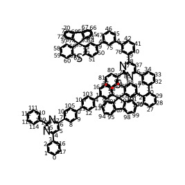 c1ccc(-c2cc(-c3ccc(-c4ccc(-c5ccc6c(c5)C5(c7cc(-c8ccccc8-c8cccc(-c9cc(-c%10cccc(-c%11cccc(-c%12ccc%13c(c%12)C%12(c%14ccccc%14S%13)c%13ccccc%13-c%13ccccc%13%12)c%11)c%10)nc(-c%10ccccc%10)n9)c8)ccc7S6)c6ccccc6-c6ccccc65)cc4)cc3)nc(-c3ccccc3)n2)cc1